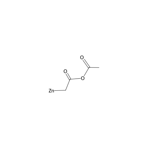 CC(=O)OC(=O)[CH2][Zn]